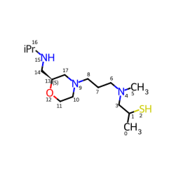 CC(S)CN(C)CCCN1CCO[C@@H](CNC(C)C)C1